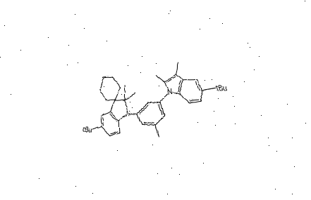 Cc1cc(N2c3ccc(C(C)(C)C)cc3C3(CCCCC3)C2(C)C)cc(-n2c(C)c(C)c3cc(C(C)(C)C)ccc32)c1